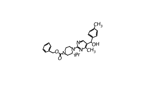 Cc1ccc(C(O)c2cnc(N3CCN(C(=O)OCc4ccccc4)C[C@H]3C(C)C)nc2C)cc1